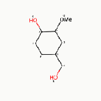 COC1CC(CO)CCC1O